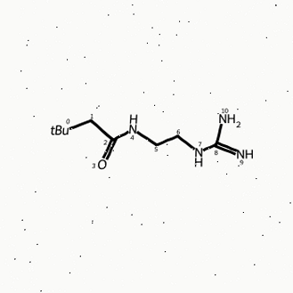 CC(C)(C)CC(=O)NCCNC(=N)N